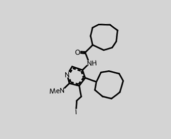 CNc1ncc(NC(=O)C2CCCCCCCC2)c(C2CCCCCCCC2)c1CCI